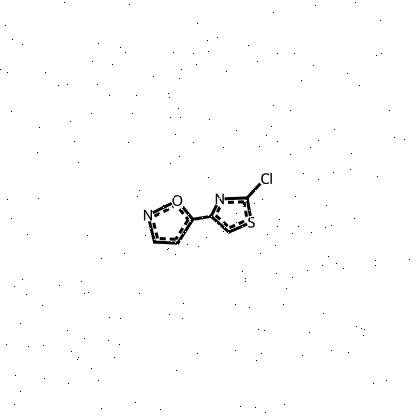 Clc1nc(-c2ccno2)cs1